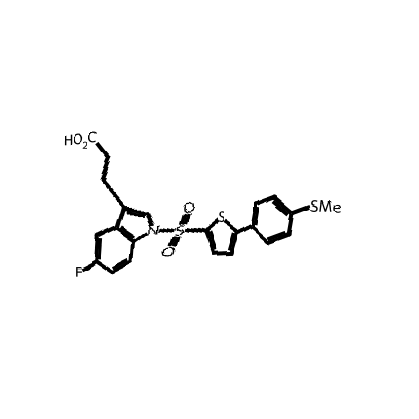 CSc1ccc(-c2ccc(S(=O)(=O)n3cc(CCC(=O)O)c4cc(F)ccc43)s2)cc1